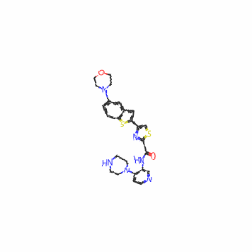 O=C(Nc1cnccc1N1CCNCC1)c1nc(-c2cc3cc(N4CCOCC4)ccc3s2)cs1